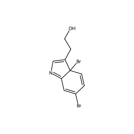 OCCC1=CN=C2C=C(Br)C=CC12Br